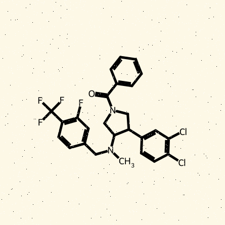 CN(Cc1ccc(C(F)(F)F)c(F)c1)C1CN(C(=O)c2ccccc2)CC1c1ccc(Cl)c(Cl)c1